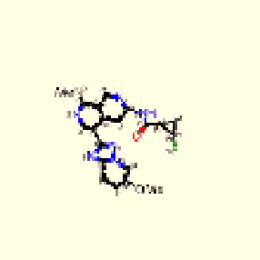 CNc1ncc(-c2nc3ccc(OC)cn3n2)c2cc(NC(=O)[C@H]3C[C@H]3F)ncc12